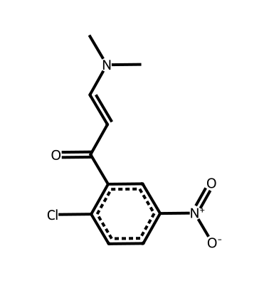 CN(C)C=CC(=O)c1cc([N+](=O)[O-])ccc1Cl